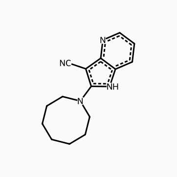 N#Cc1c(N2CCCCCCC2)[nH]c2cccnc12